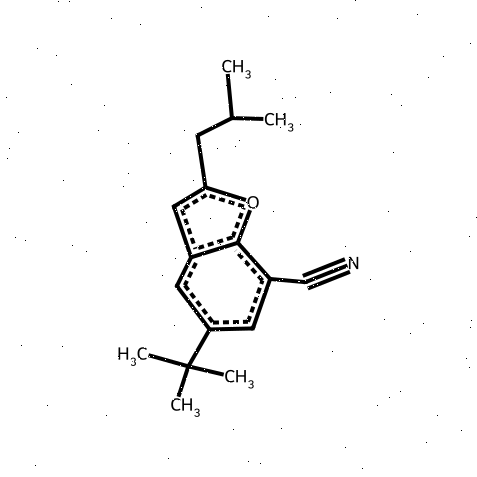 CC(C)Cc1cc2cc(C(C)(C)C)cc(C#N)c2o1